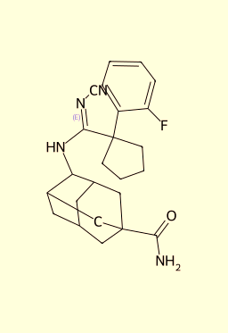 N#C/N=C(/NC1C2CC3CC1CC(C(N)=O)(C3)C2)C1(c2ccccc2F)CCCC1